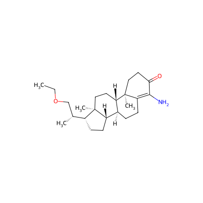 CCOC[C@@H](C)[C@H]1CC[C@H]2[C@@H]3CCC4=C(N)C(=O)CC[C@]4(C)[C@H]3CC[C@]12C